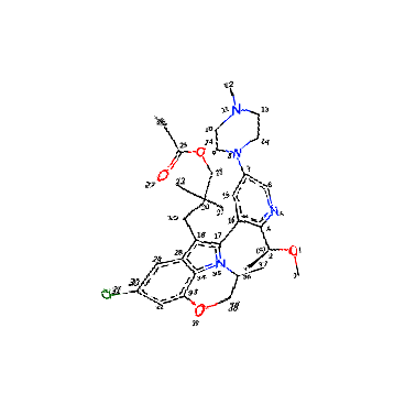 CO[C@@H](C)c1ncc(N2CCN(C)CC2)cc1-c1c(CC(C)(C)COC(C)=O)c2cc(Cl)cc3c2n1C(C)CO3